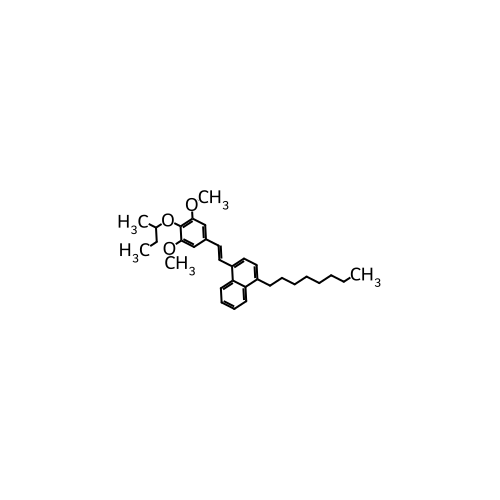 CCCCCCCCc1ccc(/C=C/c2cc(OC)c(OC(C)CC)c(OC)c2)c2ccccc12